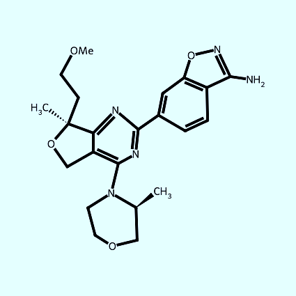 COCC[C@]1(C)OCc2c(N3CCOC[C@@H]3C)nc(-c3ccc4c(N)noc4c3)nc21